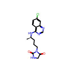 C[C@H](CCCN1C(=O)CNC1=O)Nc1ncnc2cc(Cl)ccc12